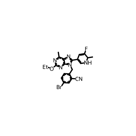 CCOc1nc(C)c2nc(C3=CNC(C)C(F)=C3)n(Cc3ccc(Br)cc3C#N)c2n1